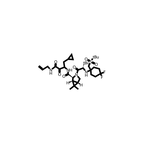 C=CCNC(=O)C(=O)C(CC1CC1)NC(=O)[C@@H]1[C@@H]2[C@H](CN1C(=O)[C@@H](NC1(CS(=O)(=O)C(C)(C)C)CCC(F)(F)CC1)C(C)(C)C)C2(C)C